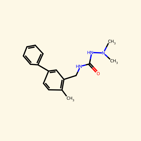 Cc1ccc(-c2ccccc2)cc1CNC(=O)NN(C)C